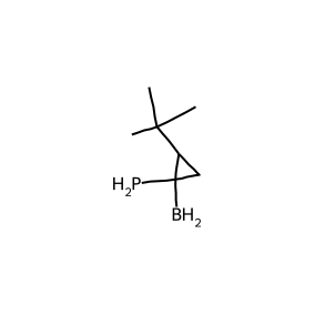 BC1(P)CC1C(C)(C)C